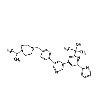 CC(C)N1CCN(Cc2ccc(-c3cncc(-c4cc(-c5ccccn5)nc(C(C)(C)O)c4)c3)cc2)CC1